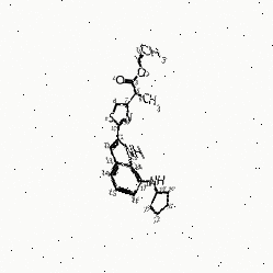 CCOC(=O)C(C)C1CSC(c2cc3cccc(NC4CCCC4)c3[nH]2)=N1